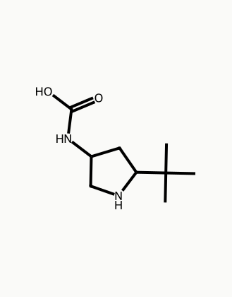 CC(C)(C)C1CC(NC(=O)O)CN1